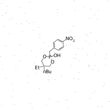 CCCCC1(CC)CO[P](O)(Cc2ccc([N+](=O)[O-])cc2)OC1